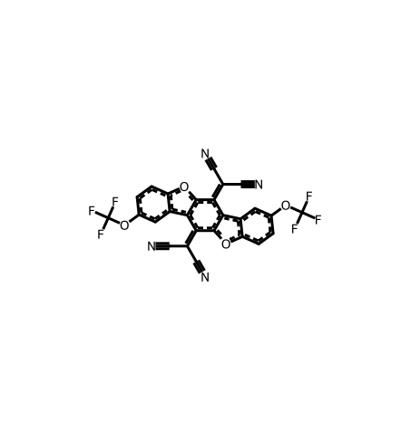 N#CC(C#N)=c1c2oc3ccc(OC(F)(F)F)cc3c2c(=C(C#N)C#N)c2oc3ccc(OC(F)(F)F)cc3c12